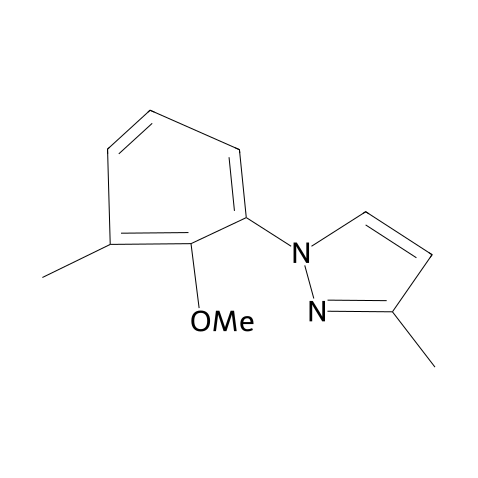 COc1c(C)cccc1-n1ccc(C)n1